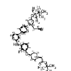 CC(C)(C)OC(=O)CN1CCC(Oc2cccc(Nc3cc(-c4cnc(N5CC(O[Si](C)(C)C(C)(C)C)CC5CC#N)nc4)ccn3)c2F)CC1